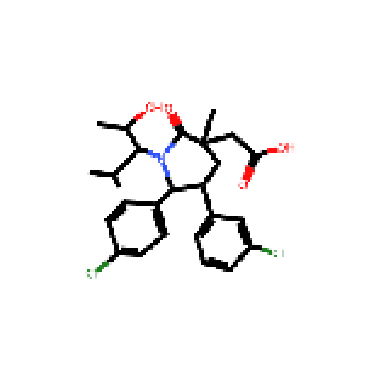 CC(C)C(C(C)O)N1C(=O)C(C)(CC(=O)O)CC(c2cccc(Cl)c2)C1c1ccc(Cl)cc1